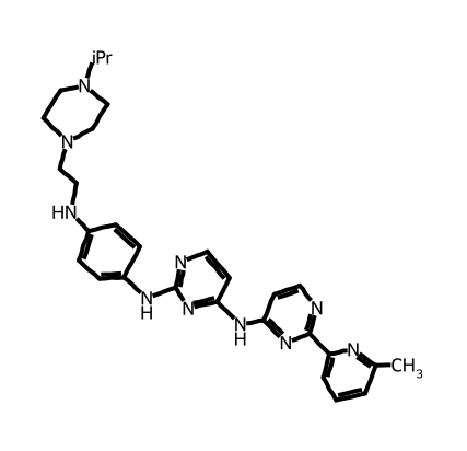 Cc1cccc(-c2nccc(Nc3ccnc(Nc4ccc(NCCN5CCN(C(C)C)CC5)cc4)n3)n2)n1